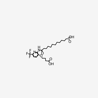 O=C(O)CCCOc1ccc(C(F)(F)F)nc1NC(=O)CCCCCCCCCCCS(=O)O